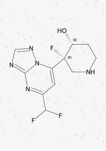 O[C@@H]1CCNC[C@@]1(F)c1cc(C(F)F)nc2ncnn12